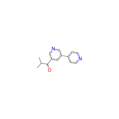 CC(C)C(=O)c1cncc(-c2ccncc2)c1